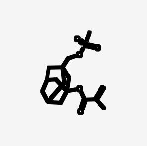 C=C(C)C(=O)OC12CC3CC(CC(COS(C)(=O)=O)(C3)C1)C2